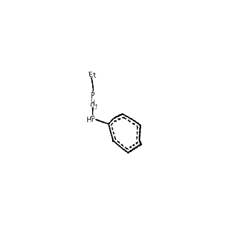 CC[PH3]Pc1ccccc1